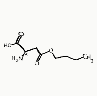 CCCCOC(=O)C[C@@H](N)C(=O)O